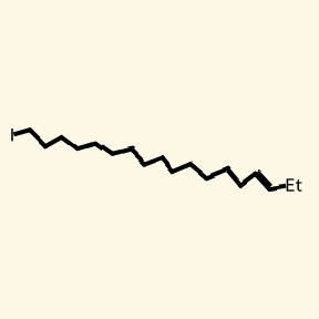 [CH2]CC=CCCCCCCCCCCCCCCI